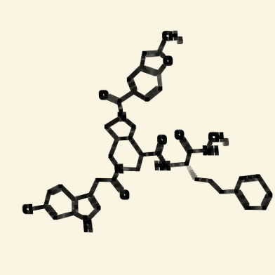 CNC(=O)[C@H](CCCc1ccccc1)NC(=O)C1CN(C(=O)Cc2c[nH]c3cc(Cl)ccc23)CC2CN(C(=O)c3ccc4oc(C)cc4c3)CC21